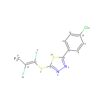 FC(Sc1nnc(-c2ccc(Cl)cc2)s1)=C(F)C(F)(F)F